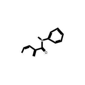 C=C(/C=C\C)C(=O)N(C)c1ccccc1